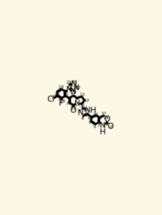 O=C1Nc2ccc(-c3cnc([C@@H]4CCC5CC(c6c(-n7cnnn7)ccc(Cl)c6F)=CC(=O)N54)[nH]3)cc2CO1